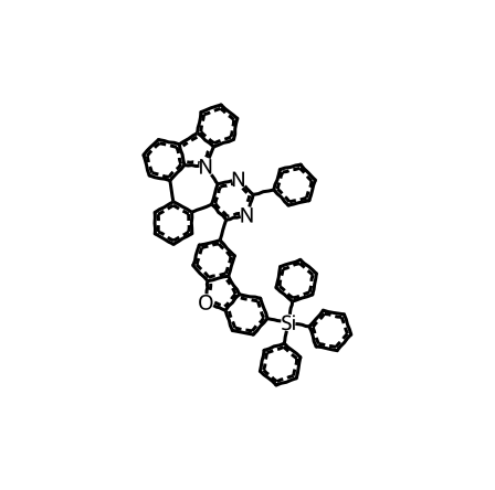 c1ccc(-c2nc(-c3ccc4oc5ccc([Si](c6ccccc6)(c6ccccc6)c6ccccc6)cc5c4c3)c3c(n2)-n2c4ccccc4c4cccc(c42)-c2ccccc2-3)cc1